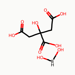 O=C(O)CC(O)(CC(=O)O)C(=O)O.OBO